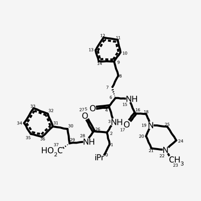 CC(C)CC(NC(=O)[C@H](CCc1ccccc1)NC(=O)CN1CCN(C)CC1)C(=O)N[C@@H](Cc1ccccc1)C(=O)O